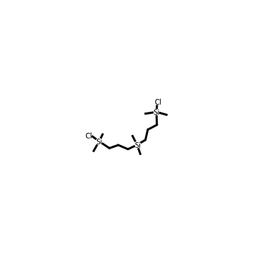 C[Si](C)(Cl)CCC[Si](C)(C)CCC[Si](C)(C)Cl